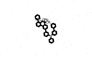 CC1(C)c2ccc(-c3cccc(N(c4ccccc4)c4cccc(-c5ccccc5)c4)c3)cc2-c2cccc(-c3ccccc3)c2C1(C)C